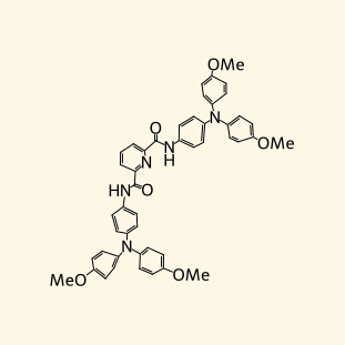 COc1ccc(N(c2ccc(NC(=O)c3cccc(C(=O)Nc4ccc(N(c5ccc(OC)cc5)c5ccc(OC)cc5)cc4)n3)cc2)c2ccc(OC)cc2)cc1